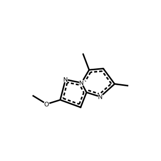 COc1cc2nc(C)cc(C)n2n1